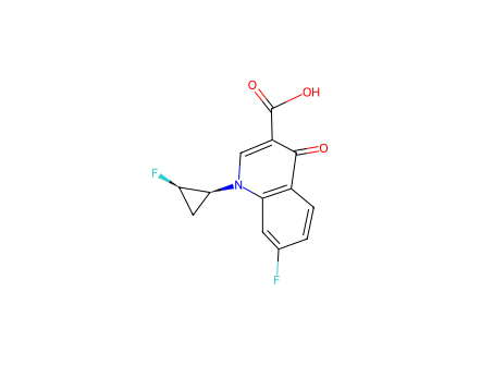 O=C(O)c1cn([C@H]2C[C@H]2F)c2cc(F)ccc2c1=O